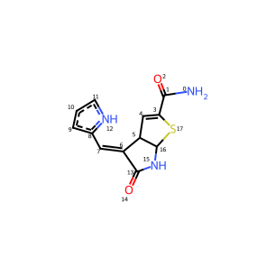 NC(=O)C1=CC2C(=Cc3ccc[nH]3)C(=O)NC2S1